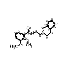 COc1cccc(C(=O)NCCN2CCc3ccccc3C2)c1OC